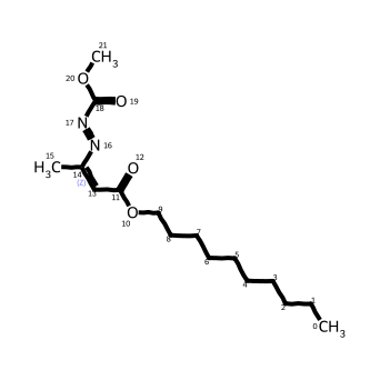 CCCCCCCCCCOC(=O)/C=C(/C)N=NC(=O)OC